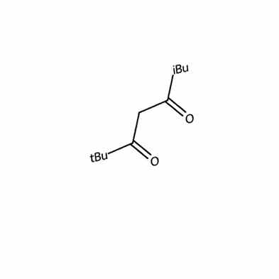 CCC(C)C(=O)CC(=O)C(C)(C)C